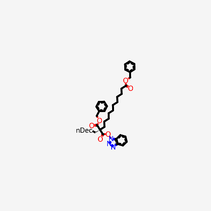 CCCCCCCCCCC[C@@](CCCCCCCCCCC(=O)OCc1ccccc1)(C(=O)OCc1ccccc1)C(=O)On1nnc2ccccc21